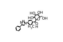 Cc1cc(-n2cc(-c3ccccc3)nn2)ccc1[C@@H](O)[C@H]1O[C@H](CO)[C@@H](O)[C@H](O)[C@@H]1O